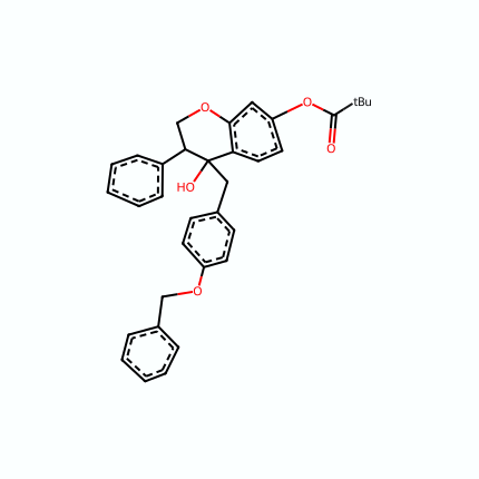 CC(C)(C)C(=O)Oc1ccc2c(c1)OCC(c1ccccc1)C2(O)Cc1ccc(OCc2ccccc2)cc1